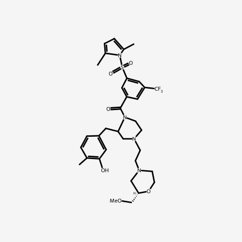 COC[C@@H]1CN(CCN2CCN(C(=O)c3cc(C(F)(F)F)cc(S(=O)(=O)n4c(C)ccc4C)c3)C(Cc3ccc(C)c(O)c3)C2)CCO1